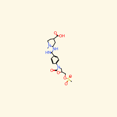 CN1CCC(C(=O)O)CC1NC(=N)c1ccc(N2CC(COS(C)(=O)=O)OC2=O)cc1